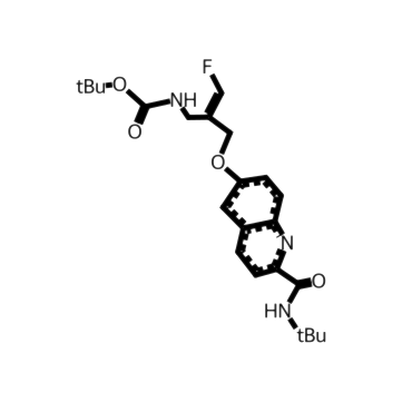 CC(C)(C)NC(=O)c1ccc2cc(OC/C(=C/F)CNC(=O)OC(C)(C)C)ccc2n1